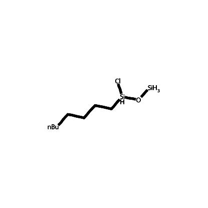 CCCCCCCC[SiH](Cl)O[SiH3]